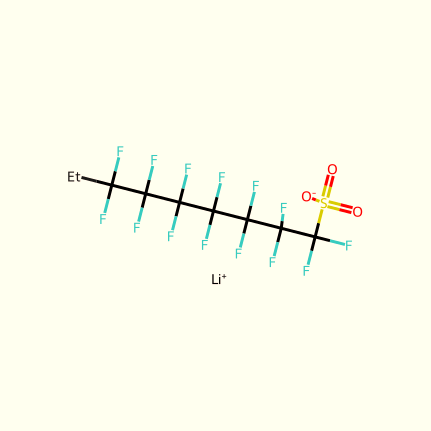 CCC(F)(F)C(F)(F)C(F)(F)C(F)(F)C(F)(F)C(F)(F)C(F)(F)S(=O)(=O)[O-].[Li+]